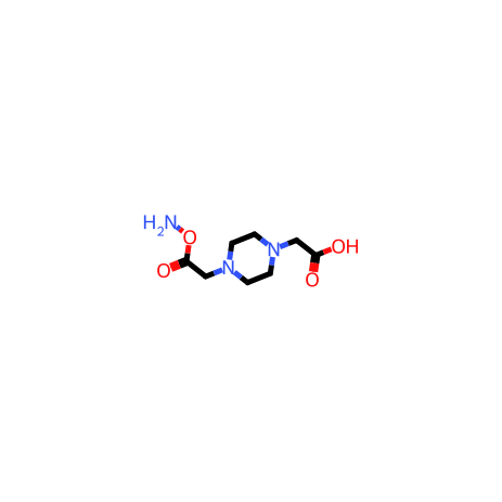 NOC(=O)CN1CCN(CC(=O)O)CC1